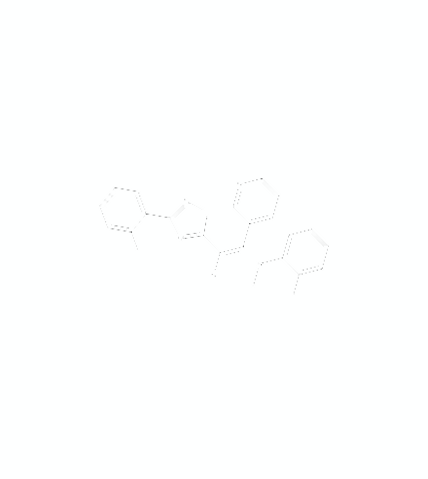 CN(/C(=C(\N)c1nc(-c2ccccc2F)no1)c1cccnc1)c1ccccc1F